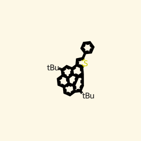 CC(C)(C)c1cc2c3cc(-c4ccccc4)sc3c3cc(C(C)(C)C)c4ccc5ccc1c1c5c4c3c21